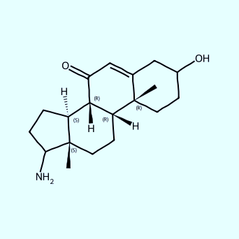 C[C@]12CCC(O)CC1=CC(=O)[C@@H]1[C@H]2CC[C@]2(C)C(N)CC[C@@H]12